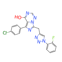 Oc1ncnn2c(Cc3cn(-c4ccccc4F)nn3)nc(-c3ccc(Cl)cc3)c12